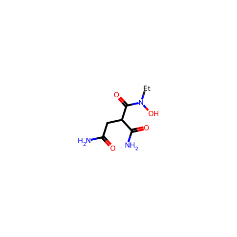 CCN(O)C(=O)C(CC(N)=O)C(N)=O